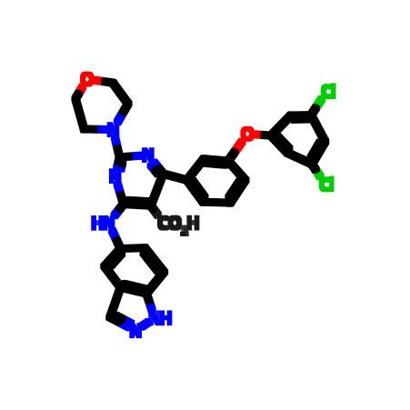 O=C(O)c1c(Nc2ccc3[nH]ncc3c2)nc(N2CCOCC2)nc1-c1cccc(Oc2cc(Cl)cc(Cl)c2)c1